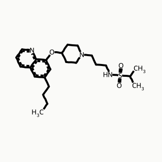 CCCCc1cc(OC2CCN(CCCNS(=O)(=O)C(C)C)CC2)c2ncccc2c1